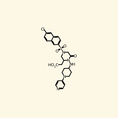 O=C(O)CC1CN(S(=O)(=O)c2ccc3cc(Cl)ccc3c2)CC(=O)N1NC1CCN(c2ccncc2)CC1